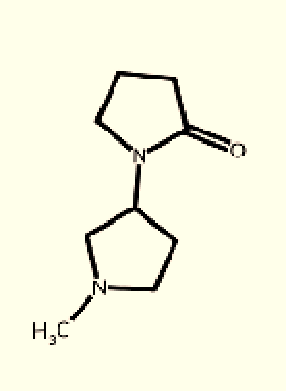 CN1CCC(N2CCCC2=O)C1